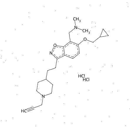 C#CCN1CCC(CCc2noc3c(CN(C)C)c(OCC4CC4)ccc23)CC1.Cl.Cl